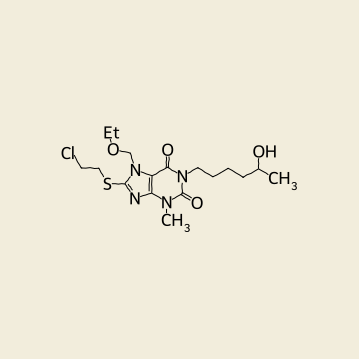 CCOCn1c(SCCCl)nc2c1c(=O)n(CCCCC(C)O)c(=O)n2C